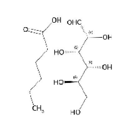 CCCCCC(=O)O.O=C[C@H](O)[C@@H](O)[C@H](O)[C@H](O)CO